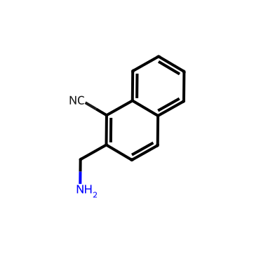 N#Cc1c(CN)ccc2ccccc12